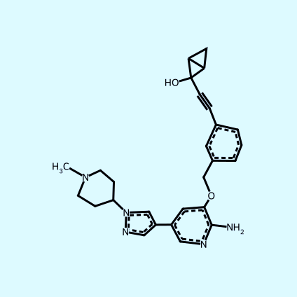 CN1CCC(n2cc(-c3cnc(N)c(OCc4cccc(C#CC5(O)C6CC65)c4)c3)cn2)CC1